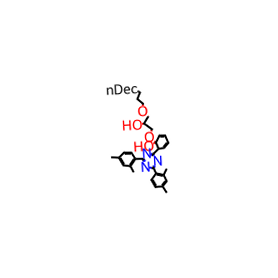 CCCCCCCCCCCCCOCC(O)COC1(O)C=CC=CC1c1nc(-c2ccc(C)cc2C)nc(-c2ccc(C)cc2C)n1